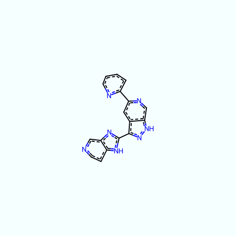 c1ccc(-c2cc3c(-c4nc5cnccc5[nH]4)n[nH]c3cn2)nc1